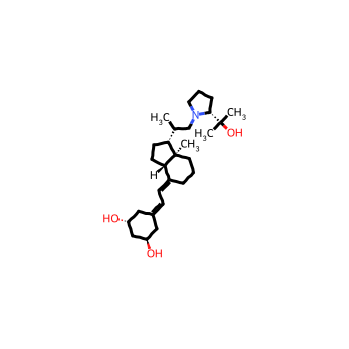 CC(CN1CCC[C@@H]1C(C)(C)O)[C@H]1CC[C@H]2/C(=C/C=C3C[C@@H](O)C[C@H](O)C3)CCC[C@]12C